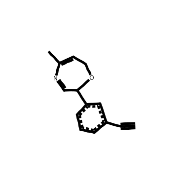 C#Cc1cccc(C2C=NC(C)=CCO2)c1